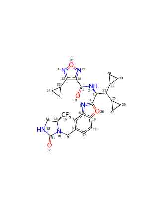 O=C(N[C@H](c1nc2cc(CN3C(=O)NC[C@H]3C(F)(F)F)ccc2o1)C(C1CC1)C1CC1)c1nonc1C1CC1